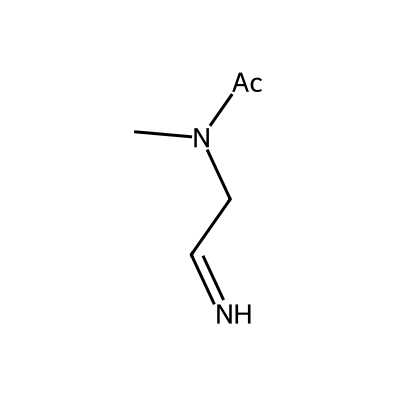 CC(=O)N(C)CC=N